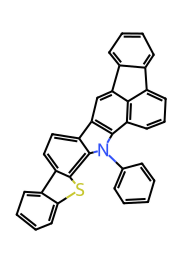 c1ccc(-n2c3c4cccc5c4c(cc3c3ccc4c6ccccc6sc4c32)-c2ccccc2-5)cc1